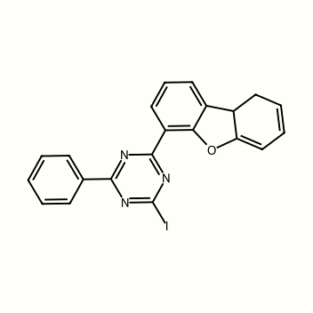 Ic1nc(-c2ccccc2)nc(-c2cccc3c2OC2=CC=CCC23)n1